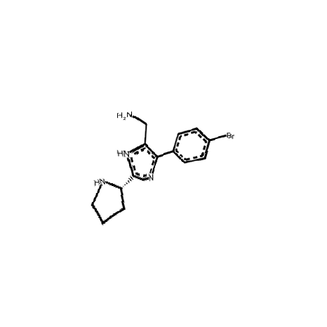 NCc1[nH]c([C@@H]2CCCN2)nc1-c1ccc(Br)cc1